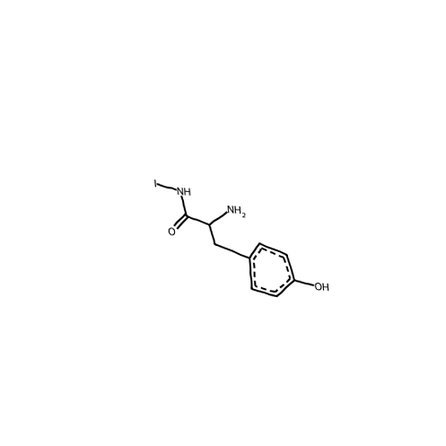 NC(Cc1ccc(O)cc1)C(=O)NI